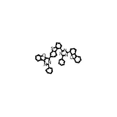 c1ccc(-c2nc(-c3cccc4c3oc3ccccc34)nc(-c3cccc4sc5cc(-c6nc(-c7ccccc7)nc7c6oc6ccccc67)ccc5c34)n2)cc1